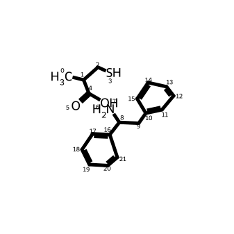 CC(CS)C(=O)O.NC(Cc1ccccc1)c1ccccc1